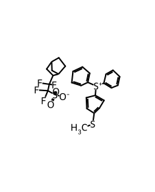 CSc1ccc([S+](c2ccccc2)c2ccccc2)cc1.O=S(=O)([O-])C(F)(F)C(F)(F)C1CC2CCC1C2